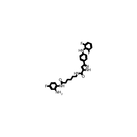 Nc1cc(F)ccc1NC(=O)CCCCCNC(=O)c1cc(-c2ccc(Nc3c(F)cccc3F)cc2)n[nH]1